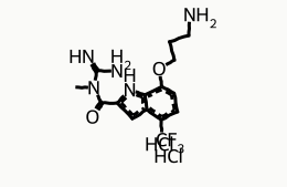 CN(C(=N)N)C(=O)c1cc2c(C(F)(F)F)ccc(OCCCN)c2[nH]1.Cl.Cl